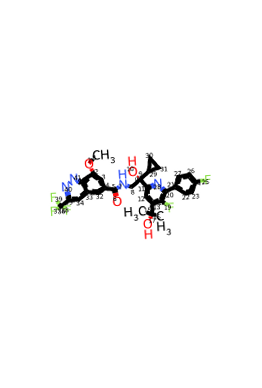 COc1cc(C(=O)NC[C@](O)(c2cc(C(C)(C)O)c(F)c(-c3ccc(F)cc3)n2)C2CC2)cc2cc(C(F)(F)F)nnc12